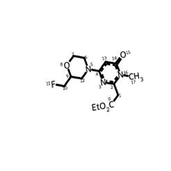 CCOC(=O)Cc1nc(N2CCOC(CF)C2)cc(=O)n1C